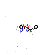 O=c1c2c(CCc3ccccc3)csc2ncn1CC(O)(Cn1cncn1)c1ccc(F)cc1F